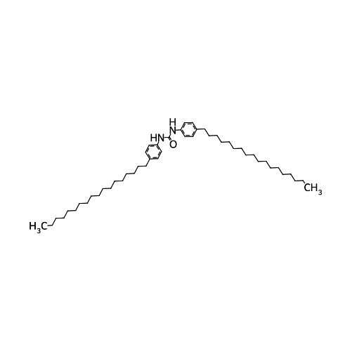 CCCCCCCCCCCCCCCCCCc1ccc(NC(=O)Nc2ccc(CCCCCCCCCCCCCCCCCC)cc2)cc1